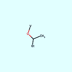 CCC(C)[O][V]